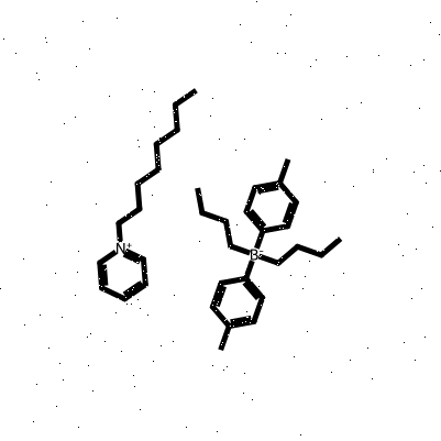 CCCCCCCC[n+]1ccccc1.CCCC[B-](CCCC)(c1ccc(C)cc1)c1ccc(C)cc1